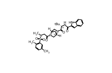 Cc1ccc(C)c(S(=O)(=O)N(C)CC(=O)N2C[C@@H]3C[C@H]2CN3C(=O)[C@@H](NC(=O)c2cc3ccccc3[nH]2)C(C)(C)C)c1